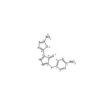 O=[N+]([O-])c1ccc(CC2=NN=C(c3ccc([N+](=O)[O-])o3)S2=S)cc1